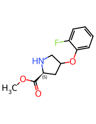 COC(=O)[C@@H]1CC(Oc2ccccc2F)CN1